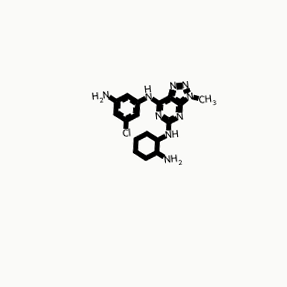 Cn1nnc2c(Nc3cc(N)cc(Cl)c3)nc(NC3CCCCC3N)nc21